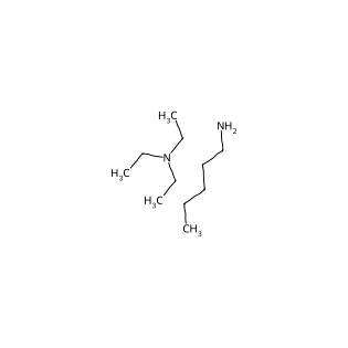 CCCCCN.CCN(CC)CC